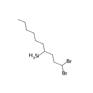 CCCCCCC([SiH3])CCC(Br)Br